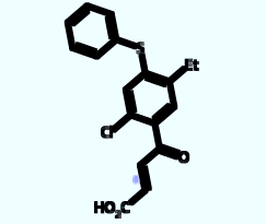 CCc1cc(C(=O)/C=C/C(=O)O)c(Cl)cc1Sc1ccccc1